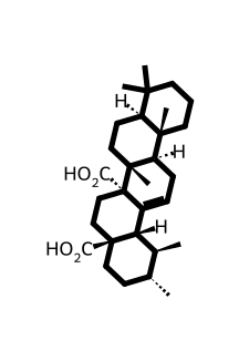 C[C@H]1[C@H](C)CC[C@]2(C(=O)O)CC[C@]3(C(=O)O)C(=CC[C@@H]4[C@@]5(C)CCCC(C)(C)[C@@H]5CC[C@]43C)[C@H]12